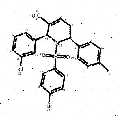 O=C(O)C1=CC[C@@H](c2ccc(Br)cc2)N(S(=O)(=O)c2ccc(Br)cc2)[C@H]1c1cccc(Cl)c1